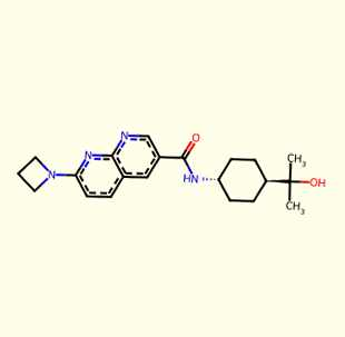 CC(C)(O)[C@H]1CC[C@H](NC(=O)c2cnc3nc(N4CCC4)ccc3c2)CC1